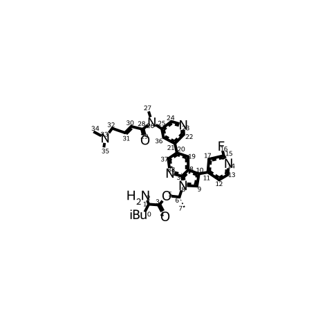 CCC(C)C(N)C(=O)O[C@@H](C)n1cc(-c2ccnc(F)c2)c2cc(-c3cncc(N(C)C(=O)/C=C/CN(C)C)c3)cnc21